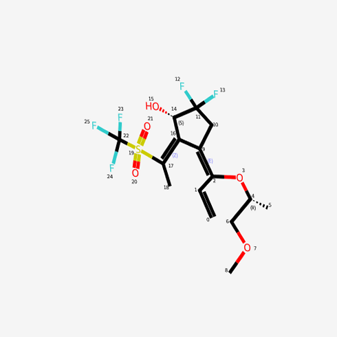 C=C/C(O[C@H](C)COC)=C1/CC(F)(F)[C@@H](O)/C1=C(/C)S(=O)(=O)C(F)(F)F